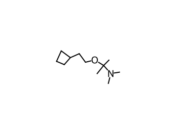 CN(C)C(C)(C)OCCC1CCC1